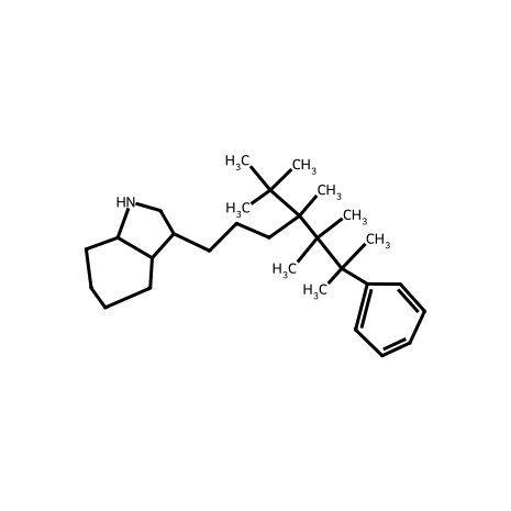 CC(C)(C)C(C)(CCCC1CNC2CCCCC12)C(C)(C)C(C)(C)c1ccccc1